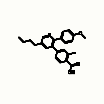 CCCCc1cnc(-c2ccc(OC)cc2)c(-c2ccc(C(=O)O)c(C)c2)c1